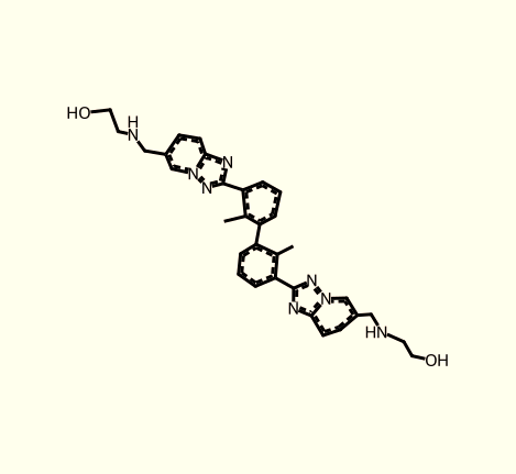 Cc1c(-c2nc3ccc(CNCCO)cn3n2)cccc1-c1cccc(-c2nc3ccc(CNCCO)cn3n2)c1C